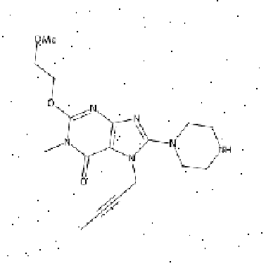 CC#CCn1c(N2CCNCC2)nc2nc(OCCOC)n(C)c(=O)c21